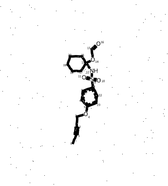 CC#CCOc1ccc(S(=O)(=O)NC2(OC=O)CCCCC2)cc1